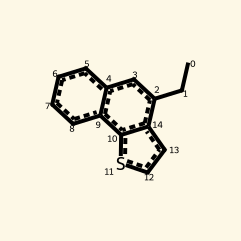 CCc1cc2ccccc2c2sccc12